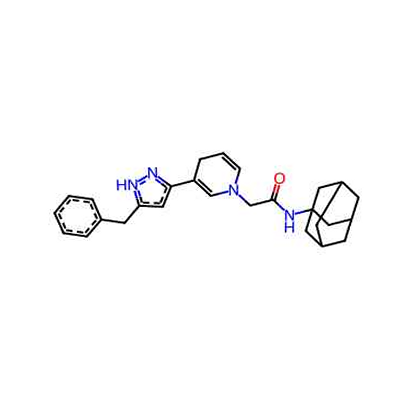 O=C(CN1C=CCC(c2cc(Cc3ccccc3)[nH]n2)=C1)NC12CC3CC(CC(C3)C1)C2